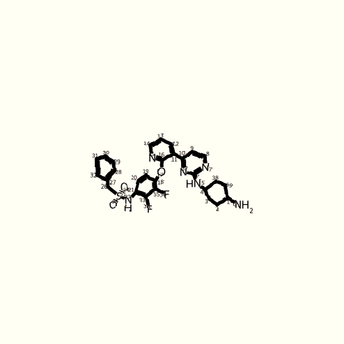 NC1CCC(Nc2nccc(-c3cccnc3Oc3ccc(NS(=O)(=O)Cc4ccccc4)c(F)c3F)n2)CC1